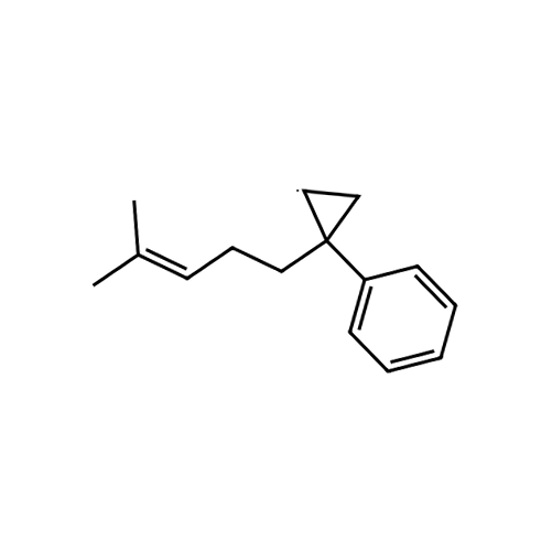 CC(C)=CCCC1(c2ccccc2)[CH]C1